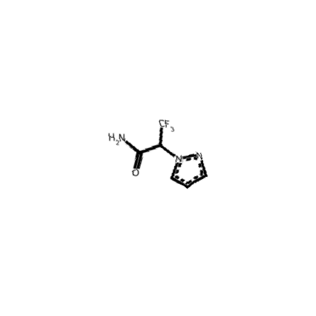 NC(=O)C(n1cccn1)C(F)(F)F